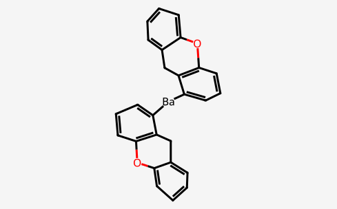 c1ccc2c(c1)Cc1c(ccc[c]1[Ba][c]1cccc3c1Cc1ccccc1O3)O2